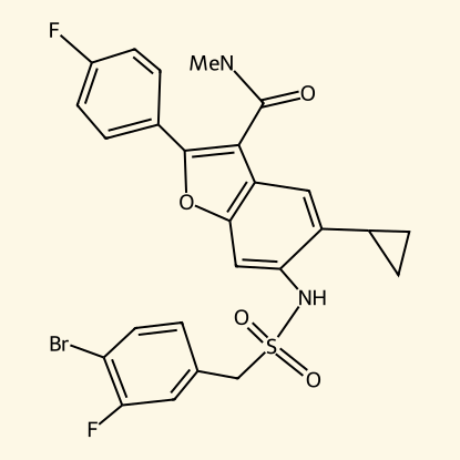 CNC(=O)c1c(-c2ccc(F)cc2)oc2cc(NS(=O)(=O)Cc3ccc(Br)c(F)c3)c(C3CC3)cc12